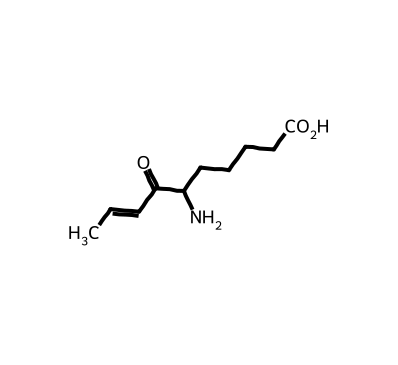 CC=CC(=O)C(N)CCCCC(=O)O